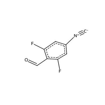 [C-]#[N+]c1cc(F)c(C=O)c(F)c1